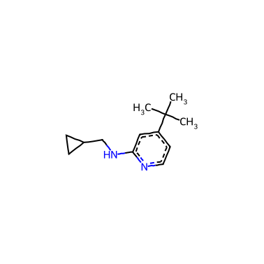 CC(C)(C)c1ccnc(NCC2CC2)c1